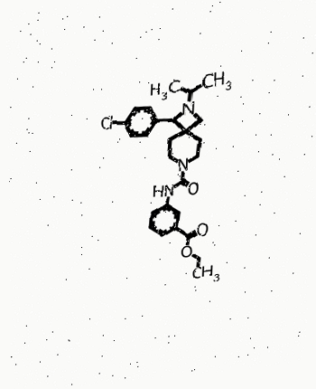 CCOC(=O)c1cccc(NC(=O)N2CCC3(CC2)CN(C(C)C)C3c2ccc(Cl)cc2)c1